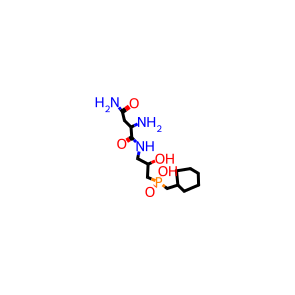 NC(=O)CC(N)C(=O)NCC(O)CP(=O)(O)CC1CCCCC1